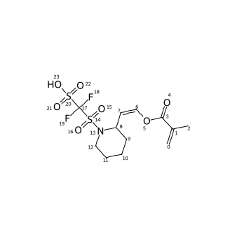 C=C(C)C(=O)O/C=C\C1CCCCN1S(=O)(=O)C(F)(F)S(=O)(=O)O